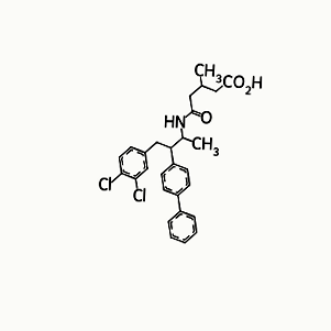 CC(CC(=O)O)CC(=O)NC(C)C(Cc1ccc(Cl)c(Cl)c1)c1ccc(-c2ccccc2)cc1